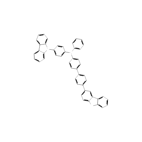 c1ccc(N(c2ccc(-c3ccc(-c4ccc5sc6ccccc6c5c4)cc3)cc2)c2ccc(-n3c4ccccc4c4ccccc43)cc2)cc1